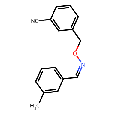 Cc1cccc(/[C]=N\OCc2cccc(C#N)c2)c1